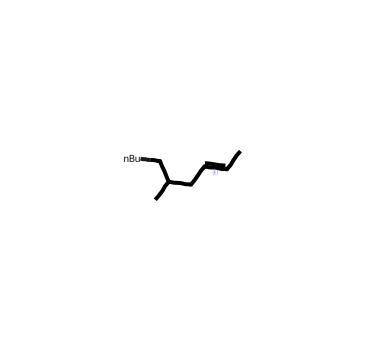 C/C=C/CC(C)CCCCC